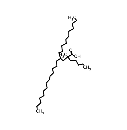 CCCCCCCCCCCCCCC(CCCCCCCCCCC)CC(C)(CCCCC)C(=O)O